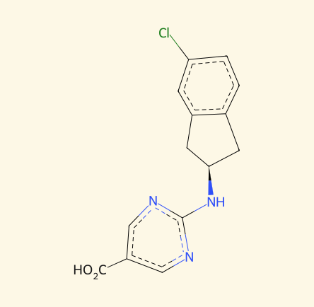 O=C(O)c1cnc(N[C@@H]2Cc3ccc(Cl)cc3C2)nc1